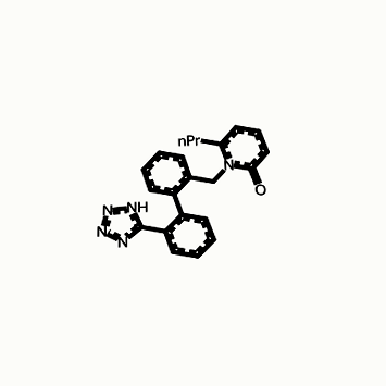 CCCc1cccc(=O)n1Cc1ccccc1-c1ccccc1-c1nnn[nH]1